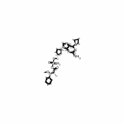 CON(c1ccccc1)[C@@H](C)C(=O)OP(N)(=O)OC[C@@H]1C=C[C@H](n2cnc3c(N4CCC4)nc(N)nc32)C1